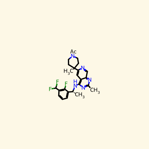 CC(=O)N1CCC(C)(c2cc3c(N[C@H](C)c4cccc(C(F)F)c4F)nc(C)nc3cn2)CC1